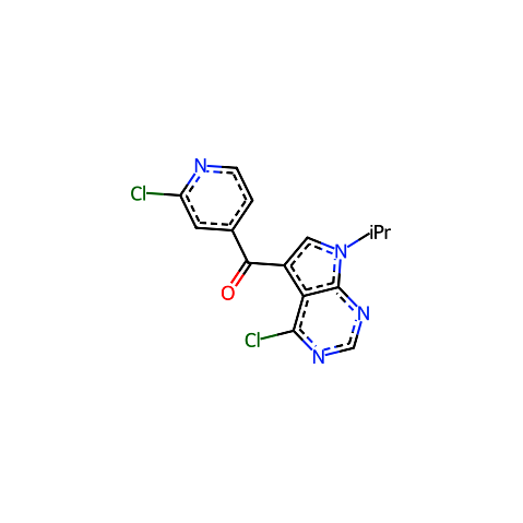 CC(C)n1cc(C(=O)c2ccnc(Cl)c2)c2c(Cl)ncnc21